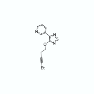 CCC#CCCOc1nsnc1-c1cccnc1